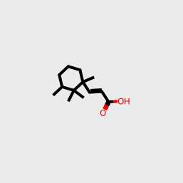 CC1CCCC(C)(C=CC(=O)O)C1(C)C